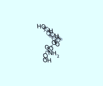 C[C@H]1[C@H](C)CC[C@]2(C(=O)OCCOC(=O)[C@@H](N)Cc3ccc(O)cc3)CC[C@]3(C)C(=CC[C@@H]4[C@@]5(C)CC[C@H](O)C(C)(C)C5CC[C@]43C)[C@H]12